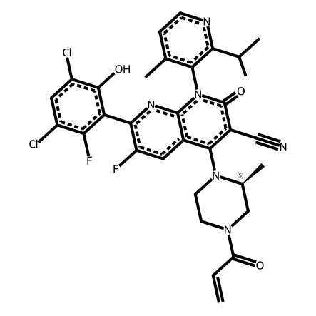 C=CC(=O)N1CCN(c2c(C#N)c(=O)n(-c3c(C)ccnc3C(C)C)c3nc(-c4c(O)c(Cl)cc(Cl)c4F)c(F)cc23)[C@@H](C)C1